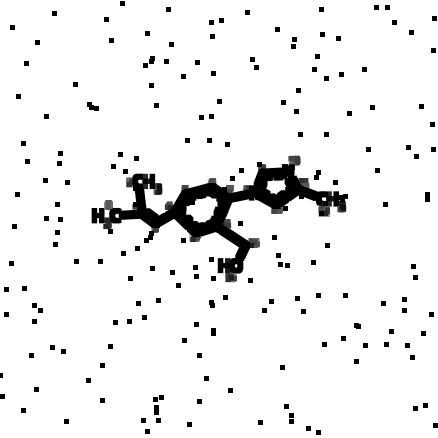 CC(C)=Cc1ccc(-n2cnc(C)c2)c(CO)c1